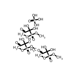 COP(=O)(OC)C(O)(O)C=O.COP(=O)(OC)C(O)(O)C=O.COP(=O)(OC)C(O)(O)C=O.O=P(O)(O)O